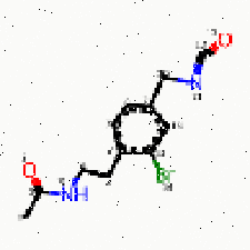 CC(=O)NCCc1ccc(CN=C=O)cc1Br